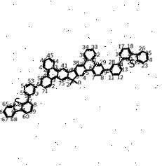 CC1(C)c2cc3c4ccc(-c5cccc(-c6cccc7c6sc6ccccc67)c5)cc4c4ccccc4c3cc2-c2cc3c4ccccc4c4cc(-c5cccc(-c6cccc7c6sc6ccccc67)c5)ccc4c3cc21